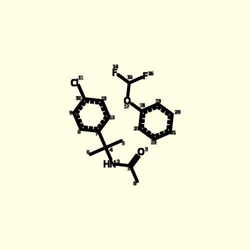 CC(=O)NC(C)(C)c1ccc(Cl)cc1.FC(F)Oc1ccccc1